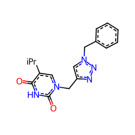 CC(C)c1cn(Cc2cn(Cc3ccccc3)nn2)c(=O)[nH]c1=O